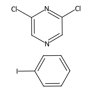 Clc1cncc(Cl)n1.Ic1ccccc1